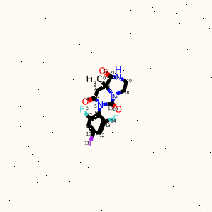 CC12CC(=O)N(c3c(F)cc(I)cc3F)C(=O)N1CCNC2=O